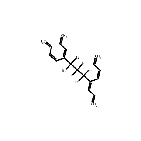 C=C/C=C\C(=C/C=C)C(CC)(CC)C(F)(F)C(CC)(CC)C(/C=C\C=C)=C/C=C